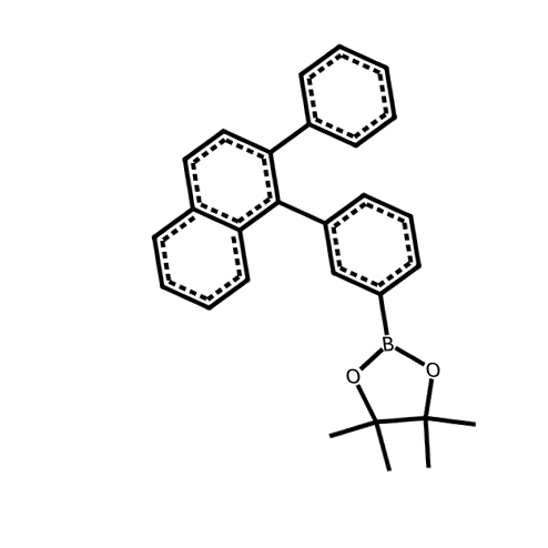 CC1(C)OB(c2cccc(-c3c(-c4ccccc4)ccc4ccccc34)c2)OC1(C)C